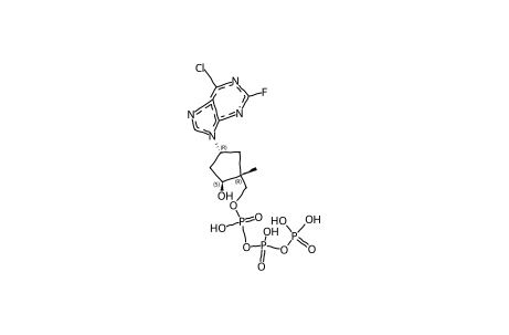 C[C@]1(COP(=O)(O)OP(=O)(O)OP(=O)(O)O)C[C@@H](n2cnc3c(Cl)nc(F)nc32)C[C@@H]1O